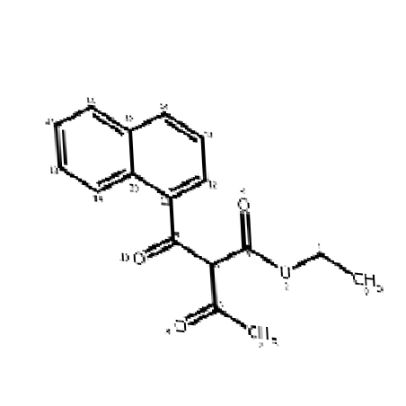 CCOC(=O)C(C(C)=O)C(=O)c1cccc2ccccc12